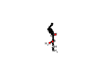 CC(C)CCC[C@@H](C)[C@H]1CC[C@H]2[C@@H]3CC=C4C[C@@H](OC(=O)CSSCC(=O)N(CCCN)CCCCNCCCN)CC[C@]4(C)[C@H]3CC[C@]12C.Cl.Cl.Cl